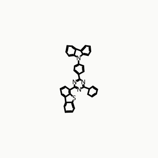 C1=CCC(c2nc(-c3ccc(-n4c5ccccc5c5ccccc54)cc3)nc(-c3cccc4c3sc3ccccc34)n2)C=C1